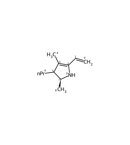 C=CC1=C(C)C(CCC)[C@H](C)N1